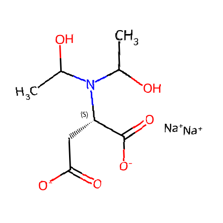 CC(O)N(C(C)O)[C@@H](CC(=O)[O-])C(=O)[O-].[Na+].[Na+]